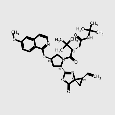 C=C[C@H]1C[C@@]12N=C([C@@H]1C[C@@H](Oc3nccc4cc(OC)ccc34)CN1C(=O)[C@@H](CC(=O)NC(C)(C)C)C(C)(C)C)OC2=O